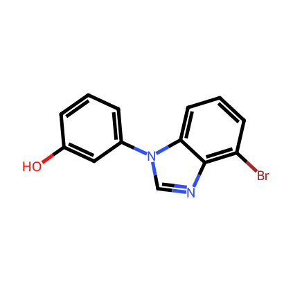 Oc1cccc(-n2cnc3c(Br)cccc32)c1